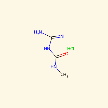 CNC(=O)NC(=N)N.Cl